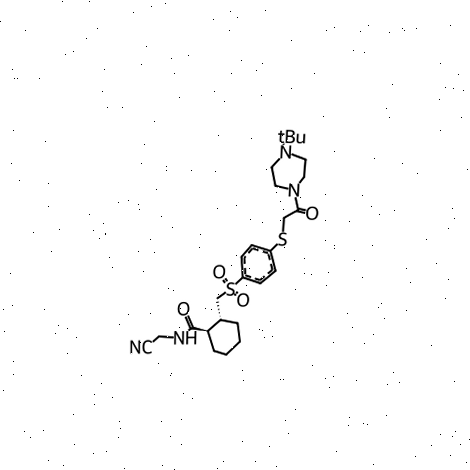 CC(C)(C)N1CCN(C(=O)CSc2ccc(S(=O)(=O)C[C@@H]3CCCC[C@H]3C(=O)NCC#N)cc2)CC1